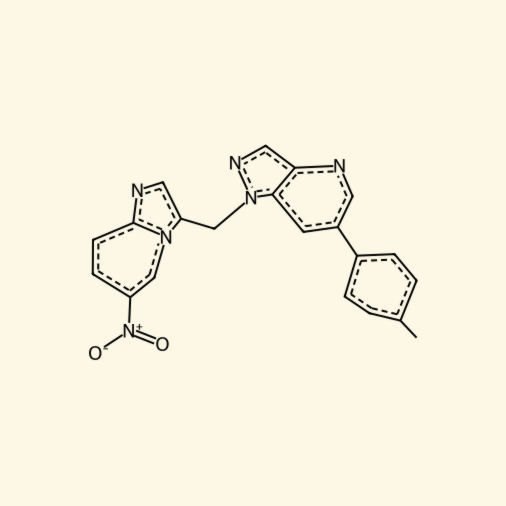 Cc1ccc(-c2cnc3cnn(Cc4cnc5ccc([N+](=O)[O-])cn45)c3c2)cc1